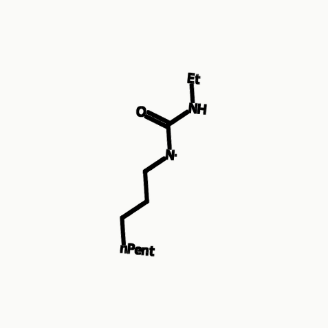 CCCCCCCC[N]C(=O)NCC